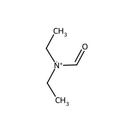 CC[N+](C=O)CC